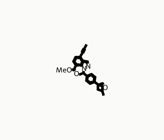 CC#Cc1ccc(C(=O)OC)c2c1cnn2C(C)c1ccc(C23COC(C)(C2)C3)cc1